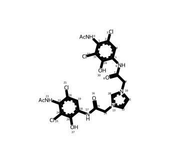 CC(=O)Nc1c(Cl)cc(NC(=O)Cn2cc[n+](CC(=O)Nc3cc(Cl)c(NC(C)=O)c(Cl)c3O)c2)c(O)c1Cl